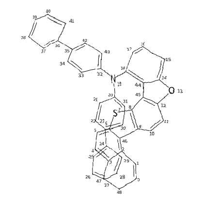 C1=Cc2c(ccc3sc4c(ccc5oc6cccc(N(c7ccc(-c8ccccc8)cc7)c7ccc(-c8ccccc8)cc7)c6c54)c23)CC1